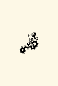 CCC(NC)C(=O)N[C@H]1CCC[C@H]2CCC([S+]([O-])CCc3ccccc3)N2C1=O